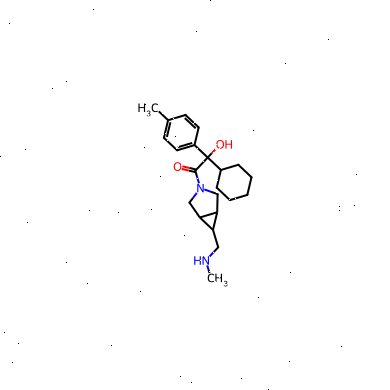 CNCC1C2CN(C(=O)C(O)(c3ccc(C)cc3)C3CCCCC3)CC12